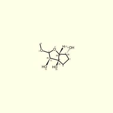 COC1O[C@@H]2[C@H](O)CC[C@]2(O)[C@H]1O